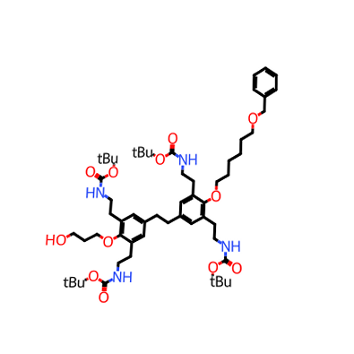 CC(C)(C)OC(=O)NCCc1cc(CCc2cc(CCNC(=O)OC(C)(C)C)c(OCCCCCCOCc3ccccc3)c(CCNC(=O)OC(C)(C)C)c2)cc(CCNC(=O)OC(C)(C)C)c1OCCCO